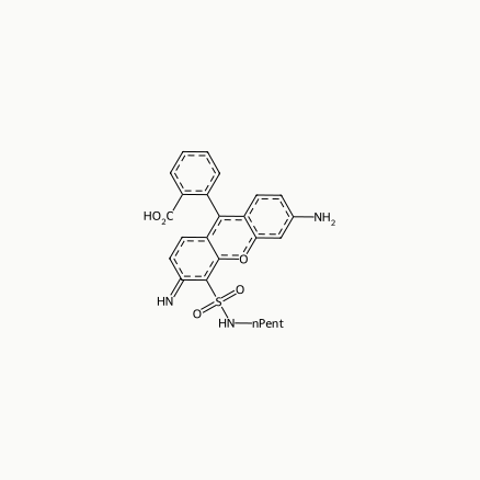 CCCCCNS(=O)(=O)c1c2oc3cc(N)ccc3c(-c3ccccc3C(=O)O)c-2ccc1=N